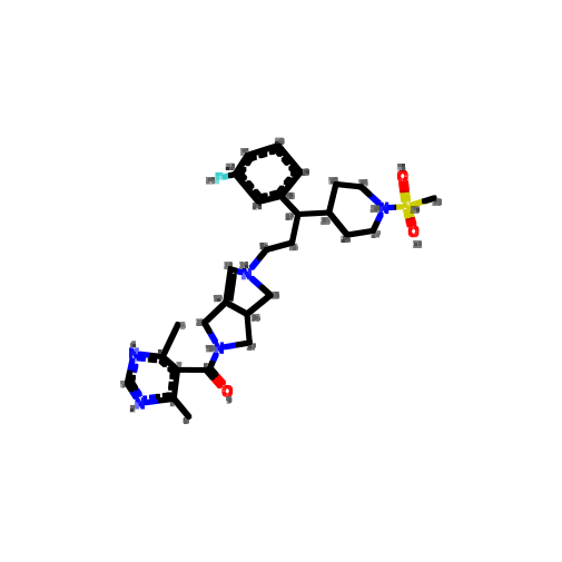 Cc1ncnc(C)c1C(=O)N1CC2=CN(CCC(c3cccc(F)c3)C3CCN(S(C)(=O)=O)CC3)CC2C1